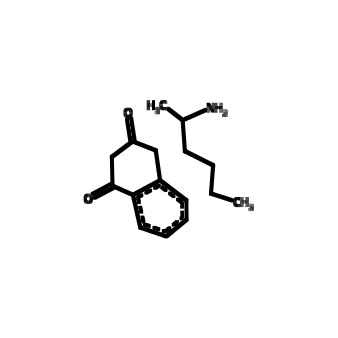 CCCCC(C)N.O=C1CC(=O)c2ccccc2C1